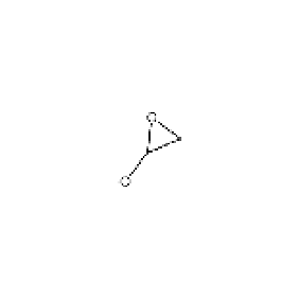 [O]C1CO1